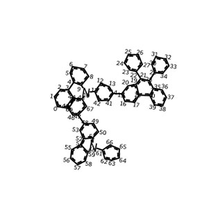 c1ccc(-c2ccccc2N(c2ccc(-c3ccc4c(c3)c(-c3ccccc3)c(-c3ccccc3)c3ccccc34)cc2)c2cccc(-c3ccc4c(c3)c3ccccc3n4-c3ccccc3)c2)cc1